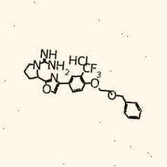 Cl.N=C(N)N1CCCC1c1nc(-c2ccc(OCCOCc3ccccc3)c(C(F)(F)F)c2)co1